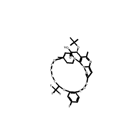 Cc1nc2cc3nn2c(c1[C@H](OC(C)(C)C)C(=O)O)N1CCC(C)(CC1)OCCCCC(C(F)(F)F)Oc1cc(F)ccc1COC3